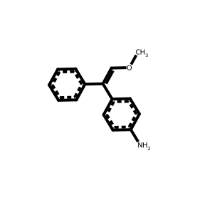 COC=C(c1ccccc1)c1ccc(N)cc1